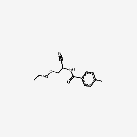 CCOOCC(C#N)NC(=O)c1ccc(C)cc1